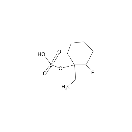 CCC1(OS(=O)(=O)O)CCCCC1F